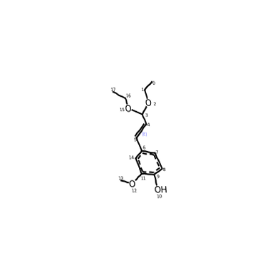 CCOC(/C=C/c1ccc(O)c(OC)c1)OCC